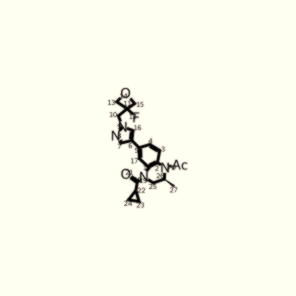 CC(=O)N1c2ccc(-c3cnn(CC4(F)COC4)c3)cc2N(C(=O)C2CC2)C[C@@H]1C